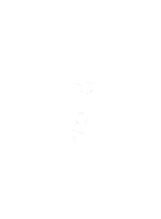 Cc1cc2c(cc1S(=O)(=O)N(C)C)CC(Cn1ncc(Cl)c(Cl)c1=O)O2